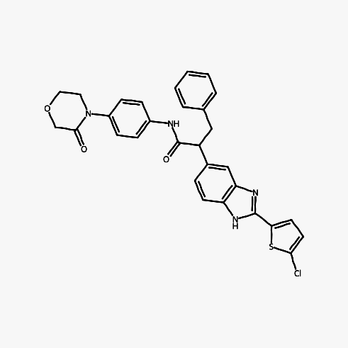 O=C(Nc1ccc(N2CCOCC2=O)cc1)C(Cc1ccccc1)c1ccc2[nH]c(-c3ccc(Cl)s3)nc2c1